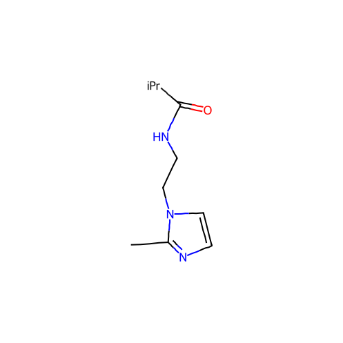 Cc1nccn1CCNC(=O)C(C)C